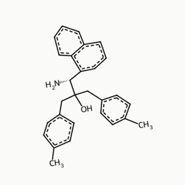 Cc1ccc(CC(O)(Cc2ccc(C)cc2)[C@H](N)c2cccc3ccccc23)cc1